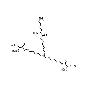 CCCCCCCCC(CCCCCC)C(=O)OCCCCCCN(CCCCCCOC(=O)C(CCCCCC)CCCCCCCC)CCOCCOC(=O)C(N)CCCCN